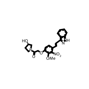 COc1c(OCC(=O)N2CC[C@@H](O)C2)ccc(C=Cc2n[nH]c3ccccc23)c1[N+](=O)[O-]